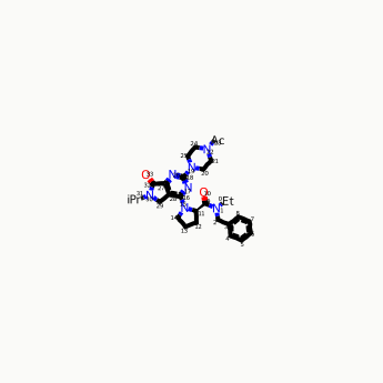 CCN(Cc1ccccc1)C(=O)[C@H]1CCCN1c1nc(N2CCN(C(C)=O)CC2)nc2c1CN(C(C)C)C2=O